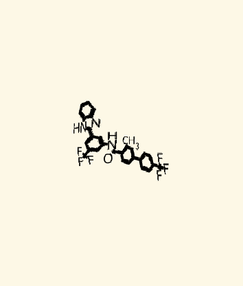 Cc1cc(-c2ccc(C(F)(F)F)cc2)ccc1C(=O)Nc1cc(-c2nc3ccccc3[nH]2)cc(C(F)(F)F)c1